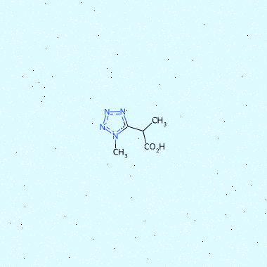 CC(C(=O)O)c1nnnn1C